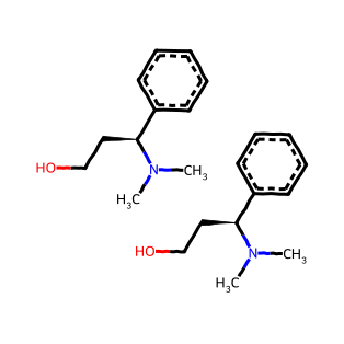 CN(C)[C@@H](CCO)c1ccccc1.CN(C)[C@@H](CCO)c1ccccc1